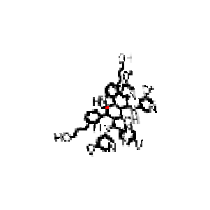 COc1cncc(NC(c2cnc(OC)cn2)C(C(=O)C(c2c[nH]c3ccc(CCCO)cc23)C(Nc2cncc(OC)c2)c2cnc(OC)cn2)c2c[nH]c3ccc(CCCO)cc23)c1